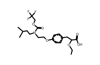 CCOC(Cc1ccc(OCCN(CCC(C)C)C(=O)OCC(F)(F)F)cc1)C(=O)O